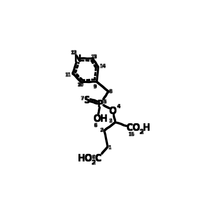 O=C(O)CCC(OP(O)(=S)Cc1ccncc1)C(=O)O